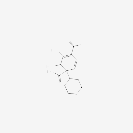 CC1=C(C(=O)O)C=CC(C(=O)O)(C2CCCCC2)C1C